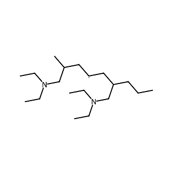 CCCC(C[CH]CC(C)CN(CC)CC)CN(CC)CC